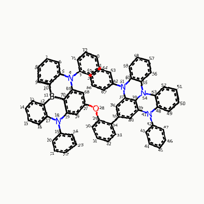 c1ccc(N2c3ccccc3B3c4ccccc4N(c4ccccc4)c4cc(Oc5ccccc5-c5cc6c7c(c5)N(c5ccccc5)c5ccccc5N7c5ccccc5N6c5ccccc5)cc2c43)cc1